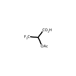 CC(=O)OC(C(=O)O)C(F)(F)F